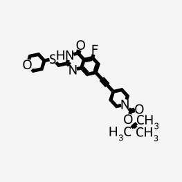 CC(C)(C)OC(=O)N1CCC(C#Cc2cc(F)c3c(=O)[nH]c(CSC4CCOCC4)nc3c2)CC1